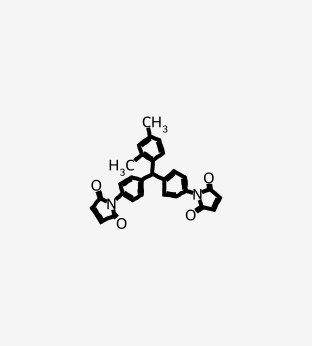 Cc1ccc(C(c2ccc(N3C(=O)C=CC3=O)cc2)c2ccc(N3C(=O)C=CC3=O)cc2)c(C)c1